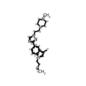 COCCn1cc(I)c2cc(-c3ncn(CCN4CCN(C)CC4)n3)ccc21